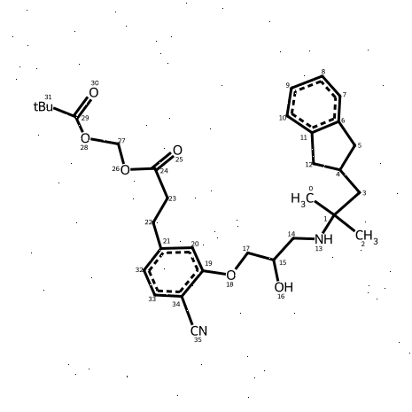 CC(C)(CC1Cc2ccccc2C1)NCC(O)COc1cc(CCC(=O)OCOC(=O)C(C)(C)C)ccc1C#N